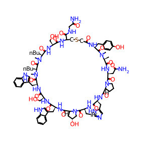 CCCC[C@H]1C(=O)N(C)[C@@H](CCCC)C(=O)N[C@@H](CO)C(=O)NC(C(=O)NCC(N)=O)CSCC(=O)N[C@@H](Cc2ccc(O)cc2)C(=O)N(C)[C@@H](C)C(=O)N[C@@H](CC(N)=O)C(=O)N2CCC[C@H]2C(=O)N[C@@H](Cc2cnc[nH]2)C(=O)N[C@@H](CC(C)C)C(=O)N2C[C@H](O)C[C@H]2C(=O)N[C@@H](Cc2c[nH]c3ccccc23)C(=O)N[C@@H](CO)C(=O)N[C@@H](Cc2c[nH]c3ccccc23)C(=O)N1C